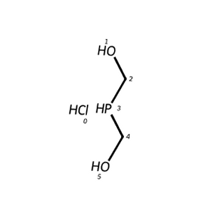 Cl.OCPCO